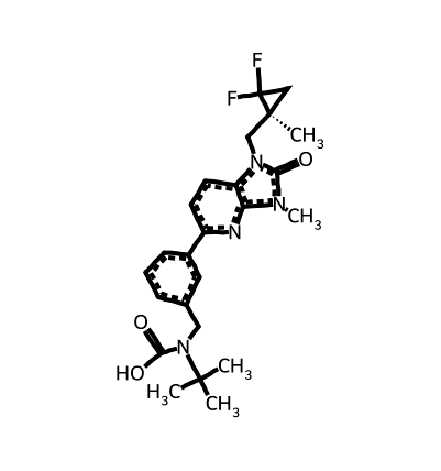 Cn1c(=O)n(C[C@]2(C)CC2(F)F)c2ccc(-c3cccc(CN(C(=O)O)C(C)(C)C)c3)nc21